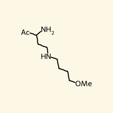 COCCCCNCCC(N)C(C)=O